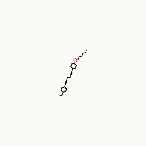 CCCCCCOc1ccc(C#C/C=C/C#Cc2ccc(CC)cc2)cc1